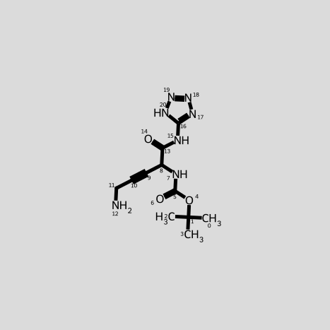 CC(C)(C)OC(=O)NC(C#CCN)C(=O)Nc1nnn[nH]1